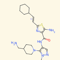 Cn1ncc(NC(=O)c2nc(/C=C/C3CCCCC3)sc2N)c1N1CCC(CN)CC1